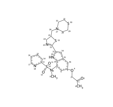 CC(=O)COc1cc(N(C)S(=O)(=O)c2ccccn2)c2[nH]c(C3=NCC(CN4CCSCC4)S3)cc2c1